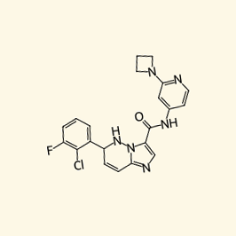 O=C(Nc1ccnc(N2CCC2)c1)c1cnc2n1NC(c1cccc(F)c1Cl)C=C2